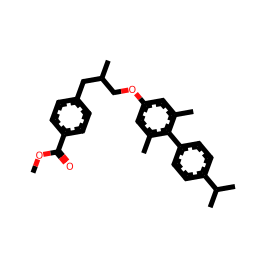 COC(=O)c1ccc(CC(C)COc2cc(C)c(-c3ccc(C(C)C)cc3)c(C)c2)cc1